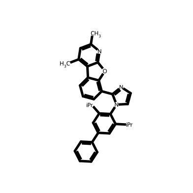 Cc1cc(C)c2c(n1)oc1c(-c3nccn3-c3c(C(C)C)cc(-c4ccccc4)cc3C(C)C)cccc12